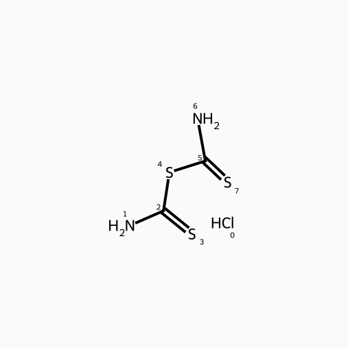 Cl.NC(=S)SC(N)=S